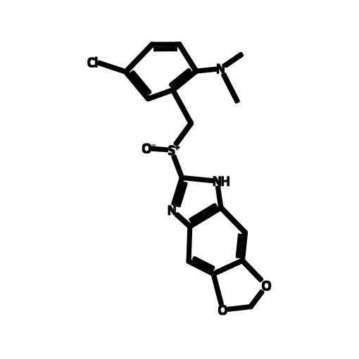 CN(C)c1ccc(Cl)cc1C[S+]([O-])c1nc2cc3c(cc2[nH]1)OCO3